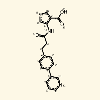 O=C(CCc1ccc(-c2cccnc2)cc1)Nc1cscc1C(=O)O